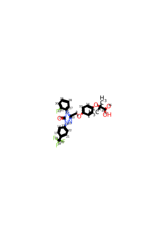 CC(C)(Oc1ccc(OCc2nn(-c3ccc(C(F)(F)F)cc3)c(=O)n2-c2ccccc2F)cc1)C(=O)O